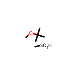 COC(C)(C)C.CS(=O)(=O)O